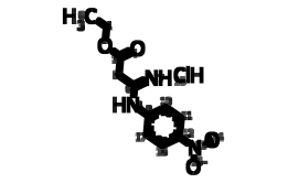 CCOC(=O)CC(=N)Nc1ccc([N+](=O)[O-])cc1.Cl